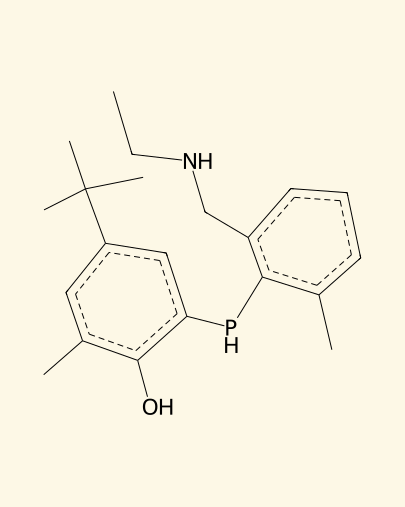 CCNCc1cccc(C)c1Pc1cc(C(C)(C)C)cc(C)c1O